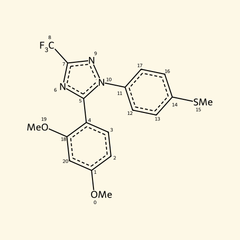 COc1ccc(-c2nc(C(F)(F)F)nn2-c2ccc(SC)cc2)c(OC)c1